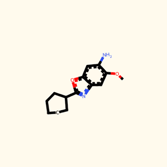 COc1cc2nc(C3CC[CH]CC3)oc2cc1N